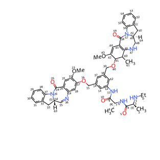 CCN[C@@H](C)C(=O)N[C@H](C)C(=O)Nc1cc(COc2cc3c(cc2OC)C(=O)N2c4ccccc4C[C@H]2C=N3)cc(COC2C(OC)=CC3=C(NC[C@@H]4Cc5ccccc5N4C3=O)C2C)c1